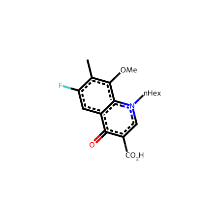 CCCCCCn1cc(C(=O)O)c(=O)c2cc(F)c(C)c(OC)c21